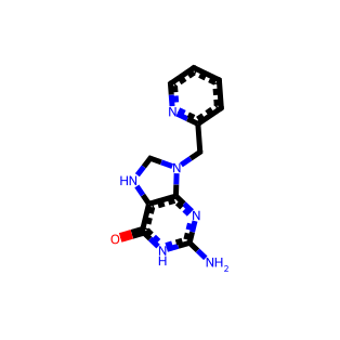 Nc1nc2c(c(=O)[nH]1)NCN2Cc1ccccn1